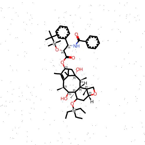 CC[Si](CC)(CC)OC1C[C@H]2OC[C@@]2(C)[C@H]2[C@H](C)[C@]3(O)C[C@H](OC(=O)[C@H](O[Si](C)(C)C(C)(C)C)[C@@H](NC(=O)c4ccccc4)c4ccccc4)C(C)=C([C@H](C)[C@H](O)[C@]12C)C3(C)C